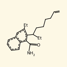 C=CCCCCC(CC)c1c(CC)cc2ccccc2c1C(N)=O